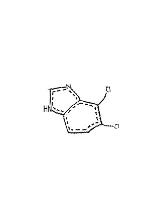 Clc1ccc2[nH][c]nc2c1Cl